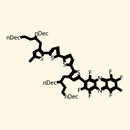 CCCCCCCCCCCCC(CCCCCCCCCC)Cc1cc(C)sc1-c1ccc(-c2ccc(-c3sc(-c4c(F)c(F)c5nc6c(F)c(C)c(F)c(F)c6nc5c4F)cc3CC(CCCCCCCCCC)CCCCCCCCCCCC)s2)s1